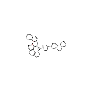 c1ccc(-c2ccccc2N(c2ccc(-c3ccc4c(ccc5ccccc54)c3)cc2)c2ccccc2-c2cccc(-c3cccc4ccccc34)c2)cc1